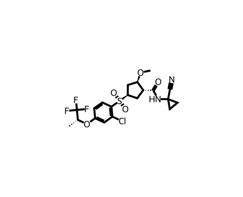 CO[C@@H]1C[C@H](S(=O)(=O)c2ccc(O[C@H](C)C(F)(F)F)cc2Cl)C[C@H]1C(=O)NC1(C#N)CC1